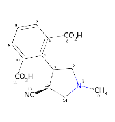 CN1CC(c2c(C(=O)O)cccc2C(=O)O)[C@H](C#N)C1